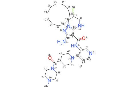 Cc1cncc(NC(=O)c2c(N)nn3c2NCC(F)C32CCCCCCCCCC2)c1N1CCC(C(=O)N2CCN(C)CC2)CC1